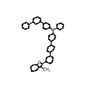 Cc1c(-c2cccc(-c3ccc(-c4ccc(N(c5ccccc5)c5ccc(-c6cccc(-c7ccccc7)c6)cc5)cc4)cc3)c2)oc2ccccc12